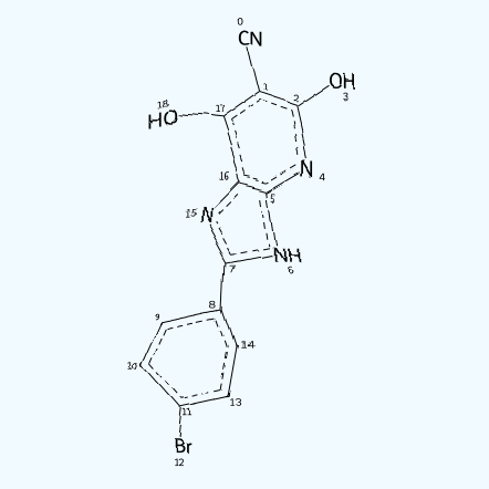 N#Cc1c(O)nc2[nH]c(-c3ccc(Br)cc3)nc2c1O